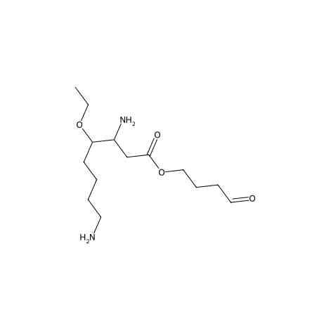 CCOC(CCCCN)C(N)CC(=O)OCCCC=O